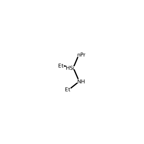 CCC[SiH](CC)NCC